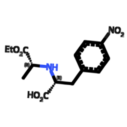 CCOC(=O)[C@@H](C)N[C@H](Cc1ccc([N+](=O)[O-])cc1)C(=O)O